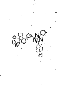 C1=C[C@@H]2CCC3CC(c4nc(-c5ccccc5)nc(-c5cccc(-c6cccc7c6-c6ccccc6C76c7ccccc7Oc7ccccc76)c5)n4)(CC13)C2